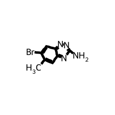 Cc1cc2nc(N)nnc2cc1Br